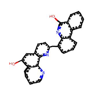 Oc1nc2c(-c3ccc4cc(O)c5cccnc5c4n3)cccc2c2ccccc12